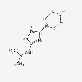 CC(C)Nc1nc(N2CCOCC2)ns1